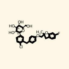 CC1(COc2ccc(Cc3cc([C@@H]4O[C@H](CO)[C@@H](O)[C@H](O)[C@H]4O)ccc3Cl)cc2)Cc2ccc(F)cc2O1